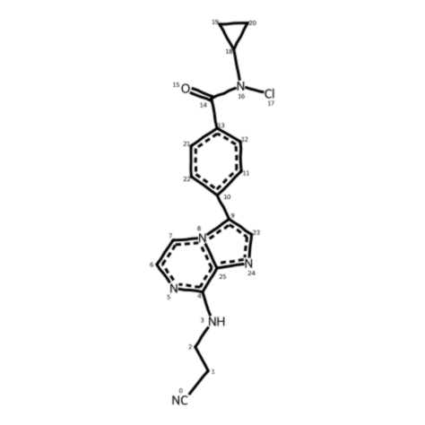 N#CCCNc1nccn2c(-c3ccc(C(=O)N(Cl)C4CC4)cc3)cnc12